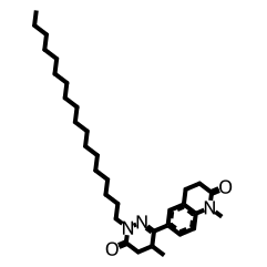 CCCCCCCCCCCCCCCCCCN1N=C(c2ccc3c(c2)CCC(=O)N3C)C(C)CC1=O